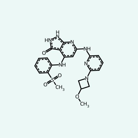 COC1CN(c2cccc(Nc3cc(Nc4ccccc4S(C)(=O)=O)c4c(=O)[nH][nH]c4n3)n2)C1